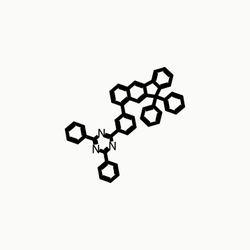 c1ccc(-c2nc(-c3ccccc3)nc(-c3cccc(-c4cccc5cc6c(cc45)C(c4ccccc4)(c4ccccc4)c4ccccc4-6)c3)n2)cc1